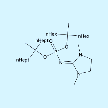 CCCCCCCC(C)(CCCCCCC)OP(=O)(N=C1N(C)CCN1C)OC(C)(CCCCCC)CCCCCC